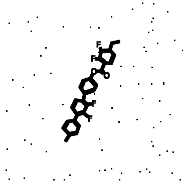 CCc1ccc(C(=O)Oc2ccc(-c3ccc(-c4ccc(C)cc4)c(F)c3F)cc2)c(F)c1F